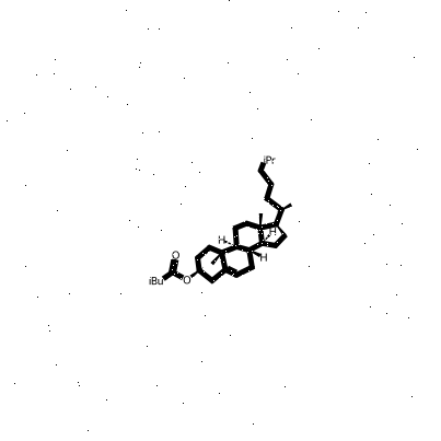 CCC(C)C(=O)O[C@H]1CC[C@@]2(C)C(=CC[C@H]3[C@@H]4CC[C@H]([C@H](C)CCCC(C)C)[C@@]4(C)CC[C@@H]32)C1